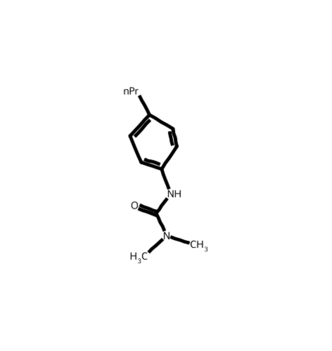 CCCc1ccc(NC(=O)N(C)C)cc1